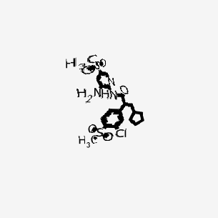 CS(=O)(=O)c1cnc(NC(=O)C(CC2CCCC2)c2ccc(S(C)(=O)=O)c(Cl)c2)c(N)c1